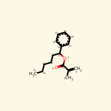 C=C(C)C(=O)OC(CCCCC)c1ccccc1